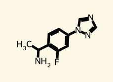 CC(N)c1ccc(-n2cncn2)cc1F